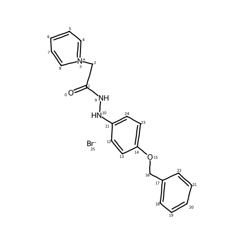 O=C(C[n+]1ccccc1)NNc1ccc(OCc2ccccc2)cc1.[Br-]